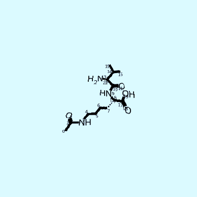 CC(=O)NCCCC[C@H](NC(=O)[C@@H](N)C(C)C)C(=O)O